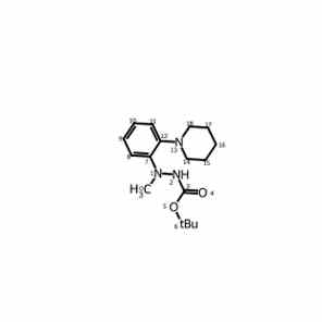 CN(NC(=O)OC(C)(C)C)c1ccccc1N1CCCCC1